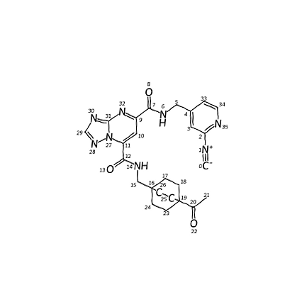 [C-]#[N+]c1cc(CNC(=O)c2cc(C(=O)NCC34CCC(C(C)=O)(CC3)CC4)n3ncnc3n2)ccn1